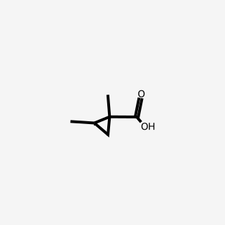 C[C]1CC1(C)C(=O)O